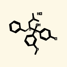 COc1cccc([C@@](O)(c2ccc(Cl)cc2)[C@H](Cc2ccccc2)CN(C)C)c1.Cl